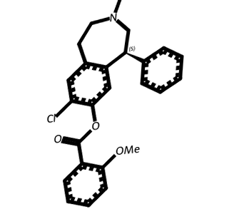 COc1ccccc1C(=O)Oc1cc2c(cc1Cl)CCN(C)C[C@H]2c1ccccc1